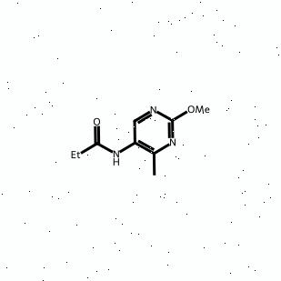 CCC(=O)Nc1cnc(OC)nc1C